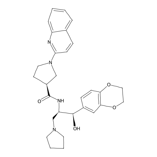 O=C(N[C@H](CN1CCCC1)[C@H](O)c1ccc2c(c1)OCCO2)[C@H]1CCN(c2ccc3ccccc3n2)C1